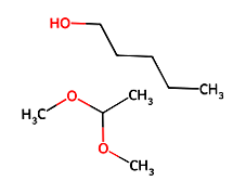 CCCCCO.COC(C)OC